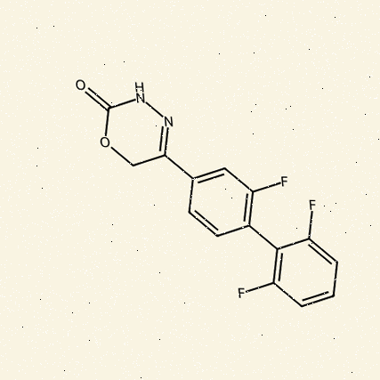 O=C1NN=C(c2ccc(-c3c(F)cccc3F)c(F)c2)CO1